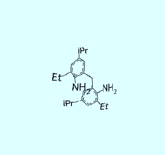 CCc1cc(C(C)C)cc(Cc2cc(C(C)C)cc(CC)c2N)c1N